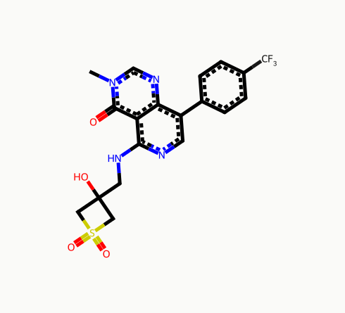 Cn1cnc2c(-c3ccc(C(F)(F)F)cc3)cnc(NCC3(O)CS(=O)(=O)C3)c2c1=O